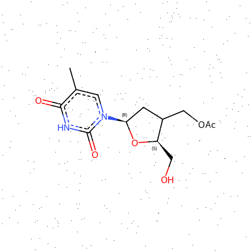 CC(=O)OCC1C[C@H](n2cc(C)c(=O)[nH]c2=O)O[C@@H]1CO